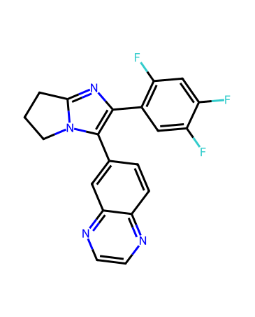 Fc1cc(F)c(-c2nc3n(c2-c2ccc4nccnc4c2)CCC3)cc1F